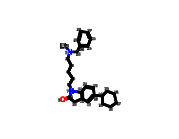 CCN(CCCCCN1C(=O)Cc2cc(C3CCCCC3)ccc21)Cc1ccccc1